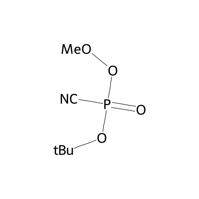 COOP(=O)(C#N)OC(C)(C)C